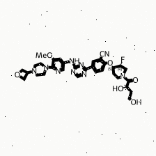 COc1cc(Nc2ncnc(-c3ccc(O[C@H]4CCN(C(=O)[C@@H](O)CCO)C[C@H]4F)c(C#N)c3)n2)cnc1N1CCN(C2COC2)CC1